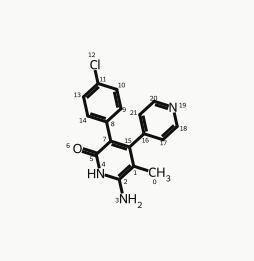 Cc1c(N)[nH]c(=O)c(-c2ccc(Cl)cc2)c1-c1ccncc1